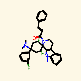 CN(C)C1(c2cccc(F)c2)CC(F)C2(c3[nH]c4ccccc4c3CCN2C(=O)C=Cc2ccccc2)C(F)C1